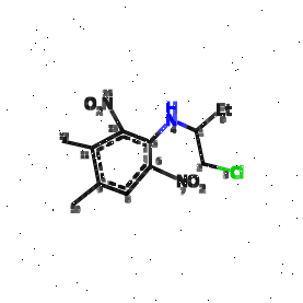 CCC(CCl)Nc1c([N+](=O)[O-])cc(C)c(C)c1[N+](=O)[O-]